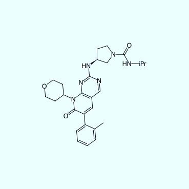 Cc1ccccc1-c1cc2cnc(N[C@H]3CCN(C(=O)NC(C)C)C3)nc2n(C2CCOCC2)c1=O